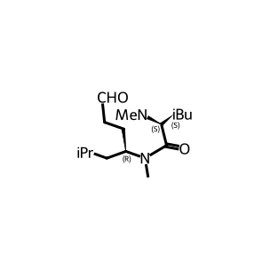 CC[C@H](C)[C@H](NC)C(=O)N(C)[C@H](CCC=O)CC(C)C